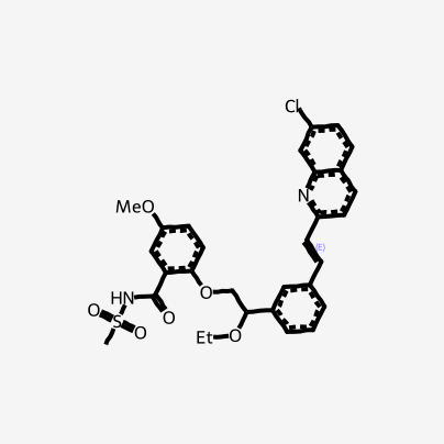 CCOC(COc1ccc(OC)cc1C(=O)NS(C)(=O)=O)c1cccc(/C=C/c2ccc3ccc(Cl)cc3n2)c1